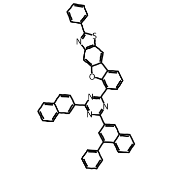 c1ccc(-c2nc3cc4oc5c(-c6nc(-c7ccc8ccccc8c7)nc(-c7cc(-c8ccccc8)c8ccccc8c7)n6)cccc5c4cc3s2)cc1